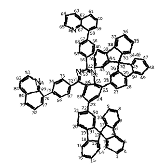 c1ccc2c(c1)-c1ccccc1C21c2ccccc2-c2ccc(-c3cc(-c4ccc5c(c4)C4(c6ccccc6-c6ccccc64)c4ccccc4-5)c4nc(-c5ccc(-c6cccc7cccnc67)cc5)nc(-c5ccc(-c6cccc7cccnc67)cc5)c4c3)cc21